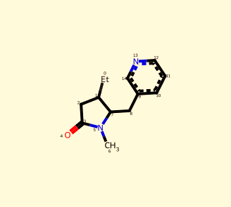 CCC1CC(=O)N(C)C1Cc1cccnc1